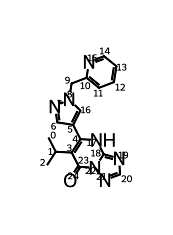 CC(C)c1c(-c2cnn(Cc3ccccn3)c2)[nH]c2ncnn2c1=O